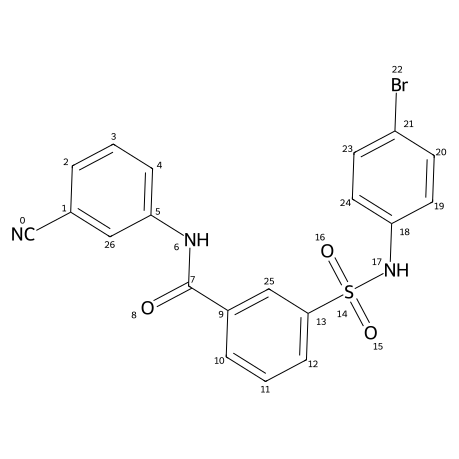 N#Cc1cccc(NC(=O)c2cccc(S(=O)(=O)Nc3ccc(Br)cc3)c2)c1